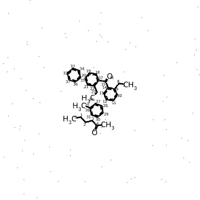 CCCCC(C)=O.CCc1ccccc1C(=O)c1ccccc1CC.Cc1ccccc1.c1ccccc1